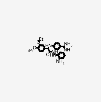 CCOc1cc(C(Nc2ccc(C(=N)N)cc2)C(=O)NNc2ccccc2N)ccc1OC(C)C